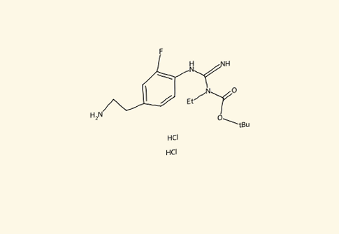 CCN(C(=N)Nc1ccc(CCN)cc1F)C(=O)OC(C)(C)C.Cl.Cl